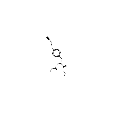 C#CCOc1ccc(C[C@H](NC(=O)CCl)C(=O)NCC(C)C)cc1